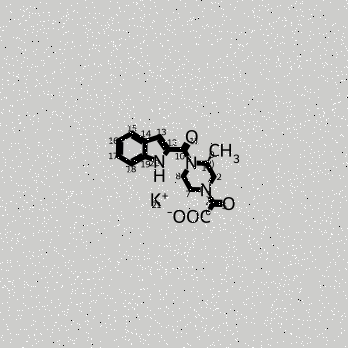 C[C@@H]1CN(C(=O)C(=O)[O-])CCN1C(=O)c1cc2ccccc2[nH]1.[K+]